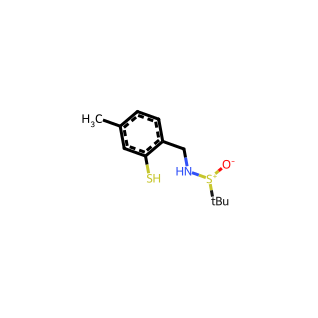 Cc1ccc(CN[S+]([O-])C(C)(C)C)c(S)c1